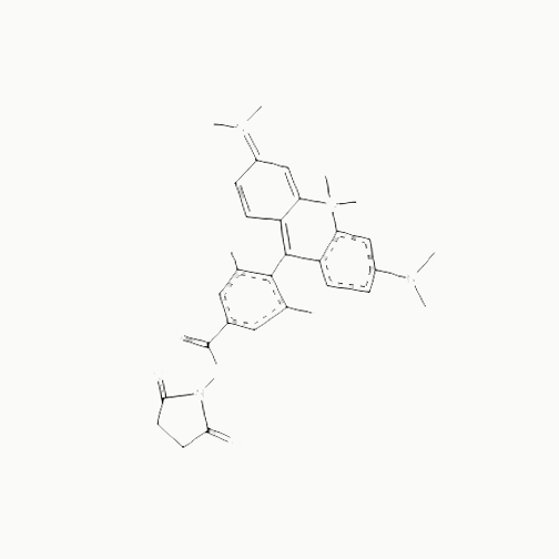 CN(C)c1ccc2c(c1)[Si](C)(C)C1=CC(=[N+](C)C)C=CC1=C2c1c(F)cc(C(=O)ON2C(=O)CCC2=O)cc1F